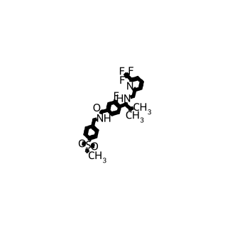 CCS(=O)(=O)c1ccc(CNC(=O)c2ccc(C(NCc3cccc(C(F)(F)F)n3)C(C)C)c(F)c2)cc1